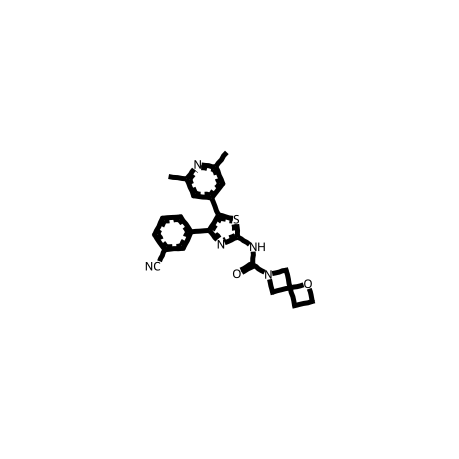 Cc1cc(-c2sc(NC(=O)N3CC4(CCO4)C3)nc2-c2cccc(C#N)c2)cc(C)n1